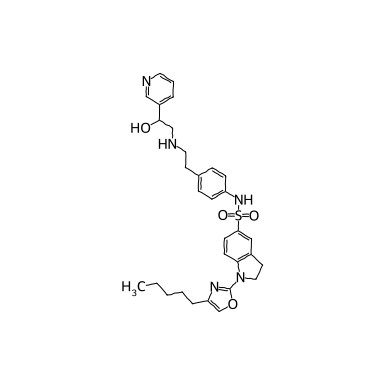 CCCCCc1coc(N2CCc3cc(S(=O)(=O)Nc4ccc(CCNCC(O)c5cccnc5)cc4)ccc32)n1